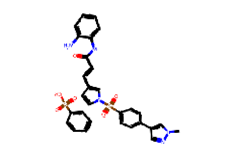 Cn1cc(-c2ccc(S(=O)(=O)n3ccc(C=CC(=O)Nc4ccccc4N)c3)cc2)cn1.O=S(=O)(O)c1ccccc1